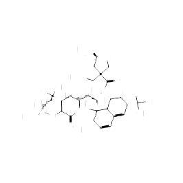 C=CCC(CC)(CC)C(=O)O[C@H]1C[C@H](C(C)(C)C)C=C2C=C[C@H](C)[C@](CC[C@@H]3C[C@H](C(C)(C)C)C(O[SiH](C)C)C(=O)O3)(O[SiH](C)C)[C@H]21